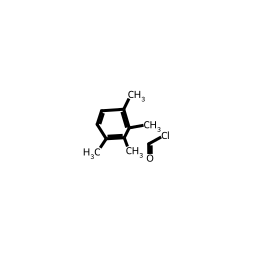 Cc1ccc(C)c(C)c1C.O=CCl